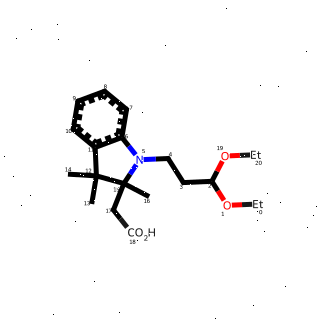 CCOC(CCN1c2ccccc2C(C)(C)C1(C)CC(=O)O)OCC